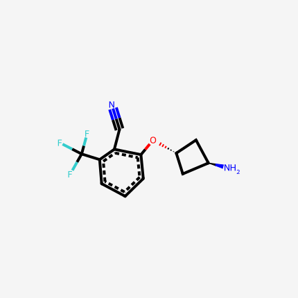 N#Cc1c(O[C@H]2C[C@H](N)C2)cccc1C(F)(F)F